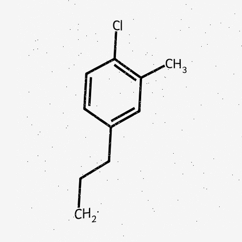 [CH2]CCc1ccc(Cl)c(C)c1